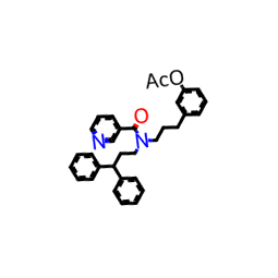 CC(=O)Oc1cccc(CCCN(CCC(c2ccccc2)c2ccccc2)C(=O)c2cccnc2)c1